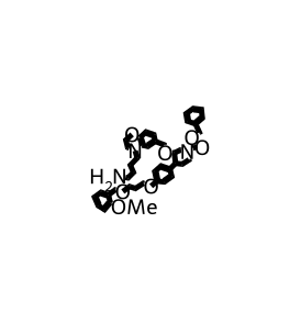 COc1ccccc1COCCCOc1ccc(C2CCN(C(=O)OCc3ccccc3)CC2OCc2ccc3c(c2)N(CCCCN)CCO3)cc1